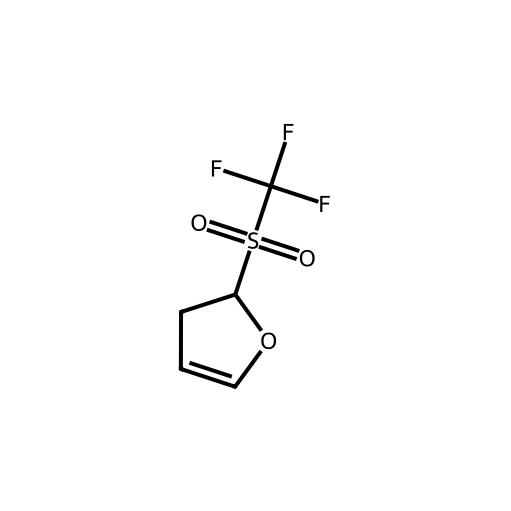 O=S(=O)(C1CC=CO1)C(F)(F)F